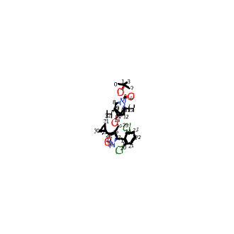 CC(C)(C)OC(=O)N1C[C@@H]2C[C@H]1C[C@H]2OCc1c(-c2c(Cl)cccc2Cl)noc1C1CC1